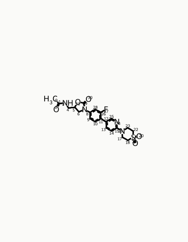 CC(=O)NCC1CN(c2ccc(-c3ccc(N4CCS(=O)(=O)CC4)nc3)c(F)c2)C(=O)O1